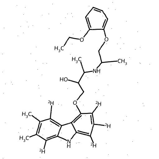 [2H]c1c([2H])c(OCC(O)C(C)NC(C)COc2ccccc2OCC)c2c([nH]c3c([2H])c(C)c(C)c([2H])c32)c1[2H]